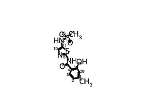 Cc1ccc(C(=O)Nc2ncc(NS(C)(=O)=O)s2)c(O)c1